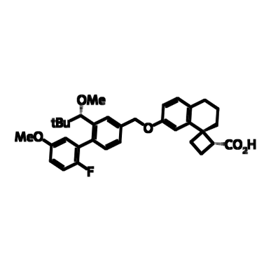 COc1ccc(F)c(-c2ccc(COc3ccc4c(c3)[C@@]3(CCC4)CC[C@H]3C(=O)O)cc2[C@@H](OC)C(C)(C)C)c1